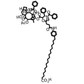 CC(=O)O[C@H]1C(=O)[C@@]2(C)[C@H]([C@H](OC(=O)c3ccccc3)[C@]3(O)C[C@H](OC(=O)[C@H](OC(=O)CCC(=O)Nc4ccc(CCCCCCCCCCCCCCCCCCC(=O)O)cc4)[C@@H](NC(=O)c4ccccc4)c4ccccc4)C(C)=C1C3(C)C)[C@]1(OC(C)=O)CC[C@@H]1C[C@@H]2O